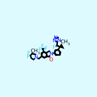 C[C@@H]1CN(Cc2cc3c(c(C(F)(F)F)c2)CN(c2cccc(C4([C@@H](F)c5nncn5C)CC4)c2)C3=O)CCC1(F)F